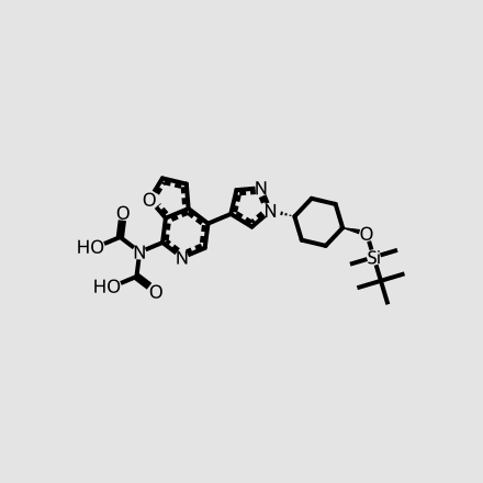 CC(C)(C)[Si](C)(C)O[C@H]1CC[C@H](n2cc(-c3cnc(N(C(=O)O)C(=O)O)c4occc34)cn2)CC1